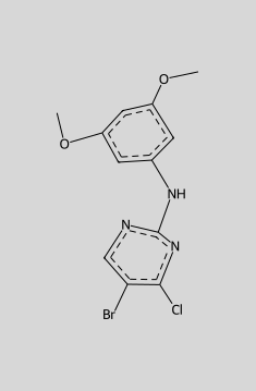 COc1cc(Nc2ncc(Br)c(Cl)n2)cc(OC)c1